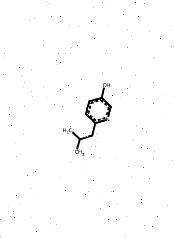 CC(C)Cc1ccc(O)cn1